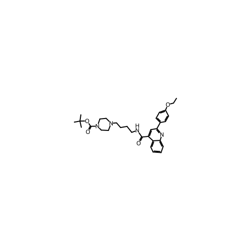 CCOc1ccc(-c2cc(C(=O)NCCCCN3CCN(C(=O)OC(C)(C)C)CC3)c3ccccc3n2)cc1